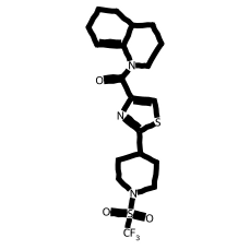 O=C(c1csc(C2CCN(S(=O)(=O)C(F)(F)F)CC2)n1)N1CCCC2CCCC=C21